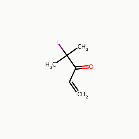 C=CC(=O)C(C)(C)I